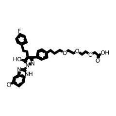 O=C(O)COCCOCCOCCCc1ccc(-c2nn(-c3nc4cc(Cl)ccc4[nH]3)c(O)c2CCc2ccc(F)cc2)cc1